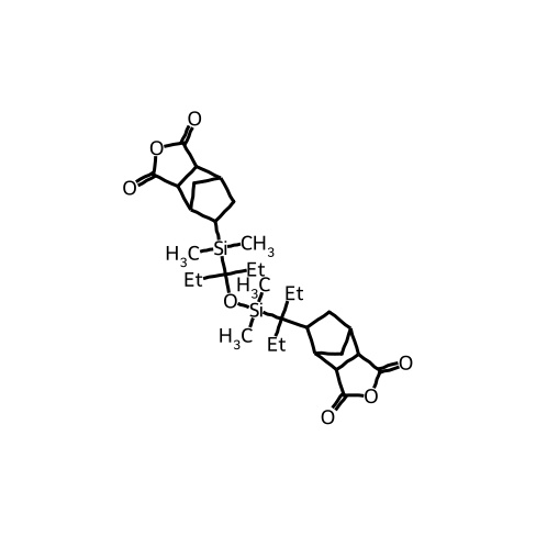 CCC(CC)(C1CC2CC1C1C(=O)OC(=O)C21)[Si](C)(C)OC(CC)(CC)[Si](C)(C)C1CC2CC1C1C(=O)OC(=O)C21